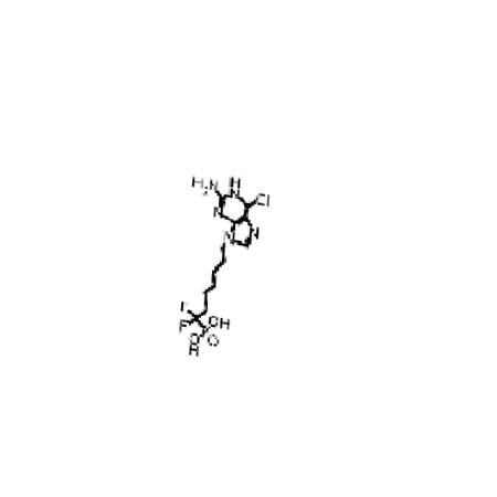 NC1=Nc2c(ncn2CCCCCCC(F)(F)P(=O)(O)O)C(Cl)N1